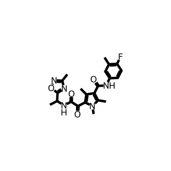 Cc1noc(C(C)NC(=O)C(=O)c2c(C)c(C(=O)Nc3ccc(F)c(C)c3)c(C)n2C)n1